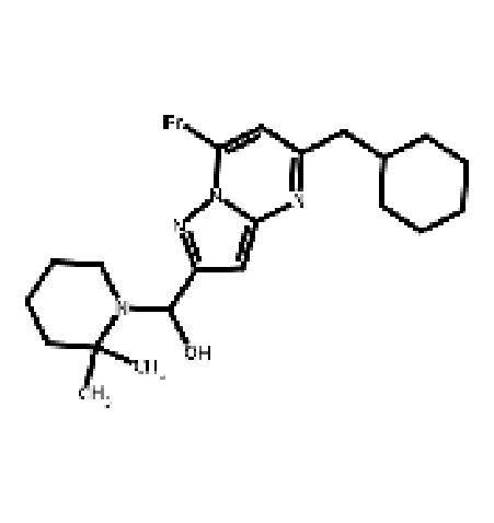 CC(C)c1cc(CC2CCCCC2)nc2cc(C(O)N3CCCCC3(C)C)nn12